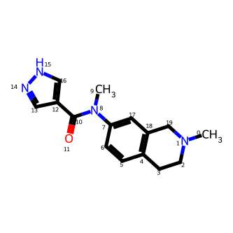 CN1CCc2ccc(N(C)C(=O)c3cn[nH]c3)cc2C1